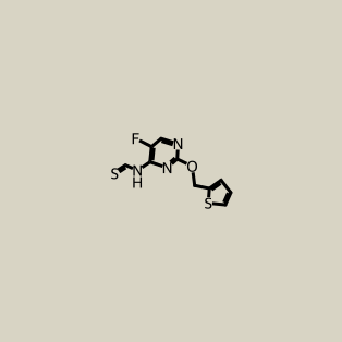 Fc1cnc(OCc2cccs2)nc1NC=S